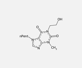 CCCCCn1cnc2c1c(=O)n(CCO)c(=O)n2C